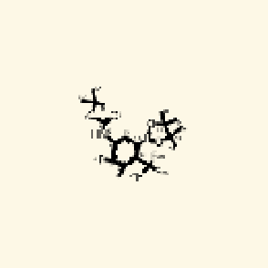 Cc1c(F)c(NC(=O)OC(C)(C)C)cc(B2OC(C)(C)C(C)(C)O2)c1C(F)(F)F